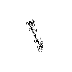 CCSC1CC(=O)N(CCC(=O)NCCOCCNC(=O)CCN2C(=O)CC(SCC)C2=O)C1=O